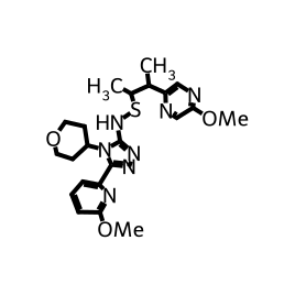 COc1cnc(C(C)C(C)SNc2nnc(-c3cccc(OC)n3)n2C2CCOCC2)cn1